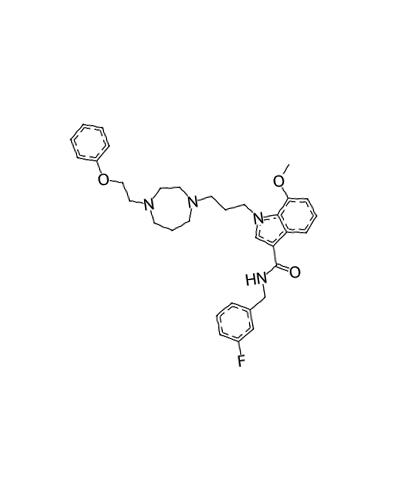 COc1cccc2c(C(=O)NCc3cccc(F)c3)cn(CCCN3CCCN(CCOc4ccccc4)CC3)c12